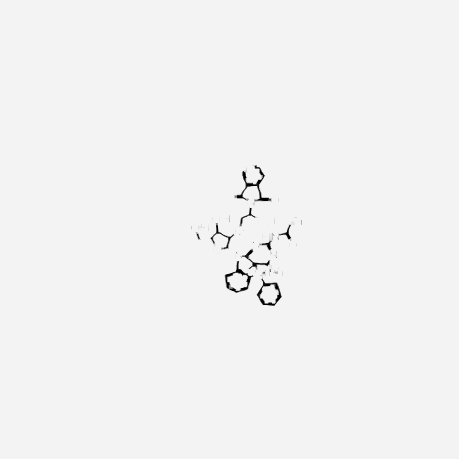 CC(C)C(=O)NC1=NC(=O)C2([Si](c3ccccc3)(c3ccccc3)C(C)(C)C)N=CN([C@@H]3O[C@H](CO)C(O)C3OCC(O)N3C(=O)c4ccccc4C3=O)C2=N1